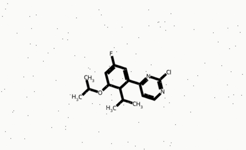 CC(C)OC1C=C(F)C=C(c2ccnc(Cl)n2)C1C(C)C